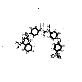 CN(C)c1nc(NC2CCC(NC(=S)Nc3ccc(Oc4ccc([N+](=O)[O-])cc4)cc3)CC2)nc2c1CCCC2